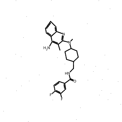 Cc1c(N(C)C2CCC(CNC(=O)c3ccc(F)c(F)c3)CC2)nc2ccccc2c1N